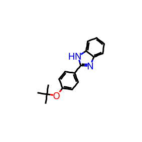 CC(C)(C)Oc1ccc(-c2nc3ccccc3[nH]2)cc1